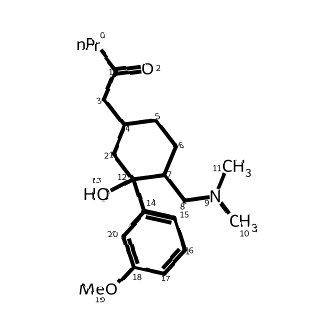 CCCC(=O)CC1CCC(CN(C)C)C(O)(c2cccc(OC)c2)C1